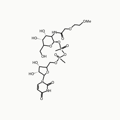 COCCOCC(=O)NC1[C@@H](OP(C)(=O)OP(C)(=O)OCC2OC(n3ccc(=O)[nH]c3=O)[C@H](O)[C@@H]2O)OC(CO)[C@H](O)[C@@H]1O